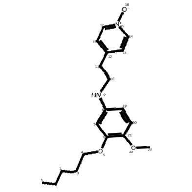 CCCCCOc1cc(NCCc2cc[n+]([O-])cc2)ccc1OC